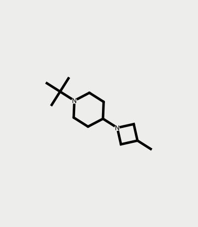 CC1CN(C2CCN(C(C)(C)C)CC2)C1